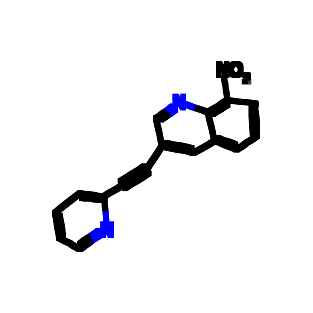 O=[N+]([O-])c1cccc2cc(C#Cc3ccccn3)cnc12